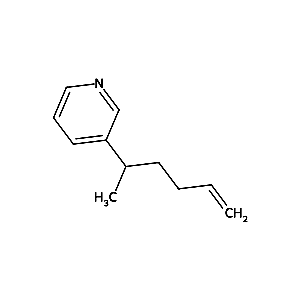 C=CCCC(C)c1cccnc1